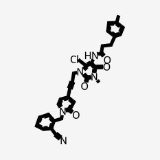 Cc1ccc(CCC(=O)Nc2c(Cl)n(CC#Cc3ccn(Cc4ccccc4C#N)c(=O)c3)c(=O)n(C)c2=O)cc1